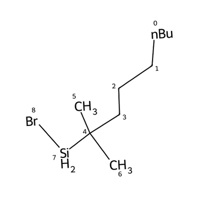 CCCCCCCC(C)(C)[SiH2]Br